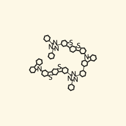 c1ccc(-c2nc(-c3cccc(-c4ccc5c(c4)c4ccccc4n5-c4ccc5sc6c(ccc7c8cc(-c9nc(-c%10ccccc%10)nc(-c%10ccccc%10)n9)ccc8sc76)c5c4)c3)nc(-c3ccc4sc5cc6c(cc5c4c3)sc3ccc(-n4c5ccccc5c5ccccc54)cc36)n2)cc1